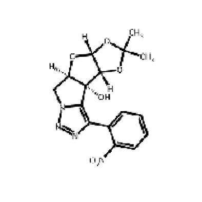 CC1(C)O[C@H]2O[C@@H]3Cn4nnc(-c5ccccc5[N+](=O)[O-])c4[C@]3(O)[C@H]2O1